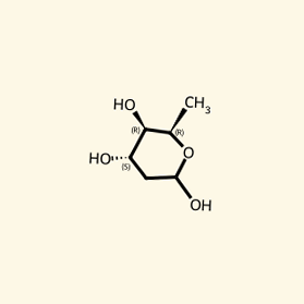 C[C@H]1OC(O)C[C@H](O)[C@H]1O